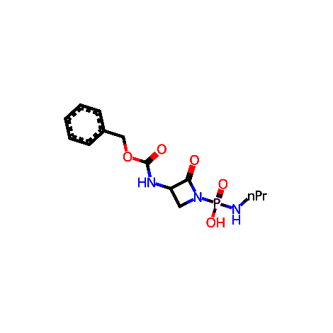 CCCNP(=O)(O)N1CC(NC(=O)OCc2ccccc2)C1=O